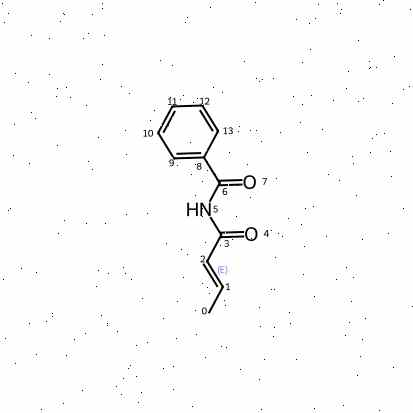 C/C=C/C(=O)NC(=O)c1ccccc1